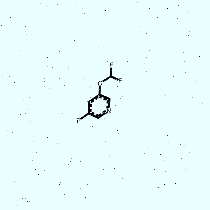 Fc1[c]c(OC(F)F)cnc1